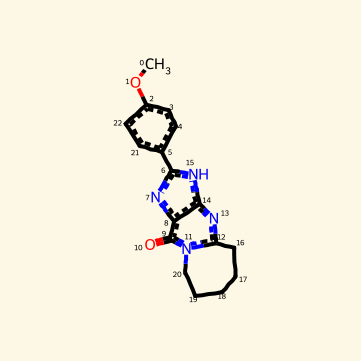 COc1ccc(-c2nc3c(=O)n4c(nc3[nH]2)CCCCC4)cc1